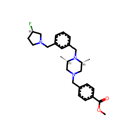 COC(=O)c1ccc(CN2C[C@@H](C)N(Cc3cccc(CN4CC[C@@H](F)C4)c3)[C@@H](C)C2)cc1